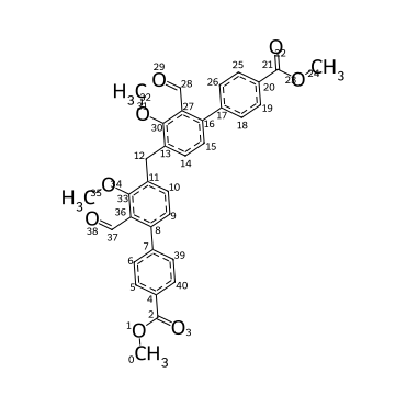 COC(=O)c1ccc(-c2ccc(Cc3ccc(-c4ccc(C(=O)OC)cc4)c(C=O)c3OC)c(OC)c2C=O)cc1